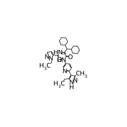 CCc1[nH]nc(C)c1-c1ccc(NC(=O)[C@@H](NC(=O)c2ccnn2CC)C(C2CCCCC2)C2CCCCC2)cn1